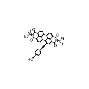 C#Cc1ccc(C#Cc2cc3c4c(ccc5c6ccc7c8c(ccc(c2c45)c86)C(=O)N(C(CC)CC)C7=O)C(=O)N(C(CC)CC)C3=O)cc1